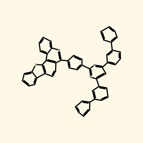 c1ccc(-c2cccc(-c3cc(-c4cccc(-c5ccccc5)c4)nc(-c4ccc(-c5nc6ccccc6c6c5ccc5c7ccccc7sc56)cc4)n3)c2)cc1